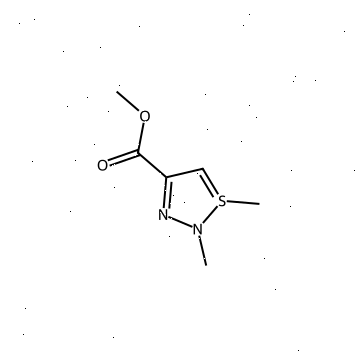 COC(=O)C1=NN(C)S(C)=C1